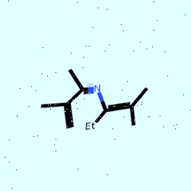 C=C(C)/C(C)=N\C(CC)=C(C)C